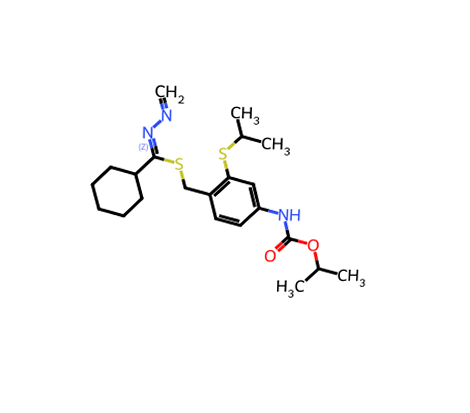 C=N/N=C(\SCc1ccc(NC(=O)OC(C)C)cc1SC(C)C)C1CCCCC1